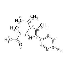 CC(=O)N(C)c1nc(-c2ccc(F)cc2)c(C)n1C(C)C